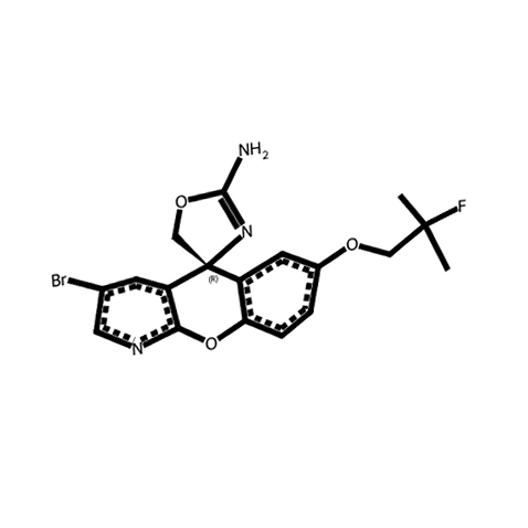 CC(C)(F)COc1ccc2c(c1)[C@]1(COC(N)=N1)c1cc(Br)cnc1O2